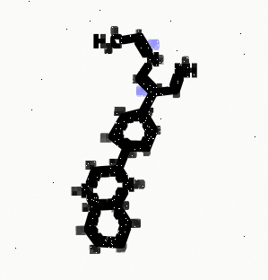 C/C=N\C=C(/C=N)c1ccc(-c2cnc3ccccc3n2)cc1